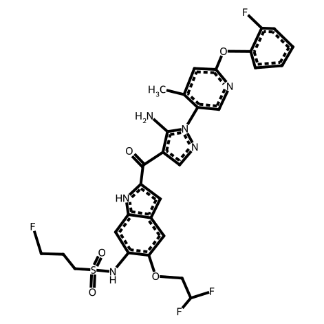 Cc1cc(Oc2ccccc2F)ncc1-n1ncc(C(=O)c2cc3cc(OCC(F)F)c(NS(=O)(=O)CCCF)cc3[nH]2)c1N